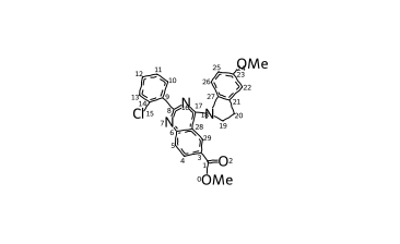 COC(=O)c1ccc2nc(-c3ccccc3Cl)nc(N3CCc4cc(OC)ccc43)c2c1